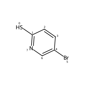 Sc1ccc(Br)cn1